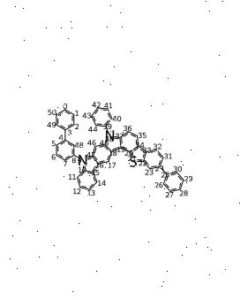 c1ccc(-c2cccc(-n3c4ccccc4c4cc5c6c7sc8cc(-c9ccccc9)ccc8c7ccc6n(-c6ccccc6)c5cc43)c2)cc1